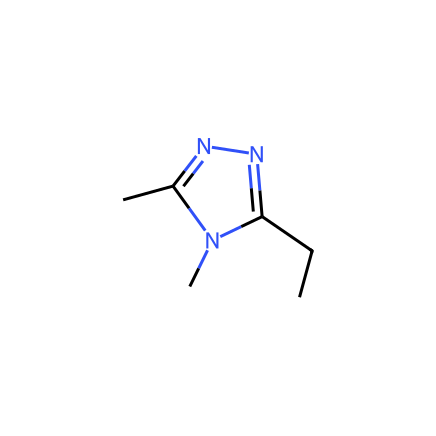 CCc1nnc(C)n1C